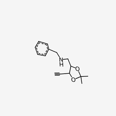 C#CC1OC(C)(C)OC1CNCc1ccccc1